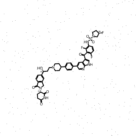 O=C1CC[C@H](N2Cc3cc([C@@H](O)CCN4CCC(c5ccc(-c6cnc7[nH]cc(C(=O)c8c(F)ccc(NS(=O)(=O)N9CC[C@@H](F)C9)c8F)c7c6)cc5)CC4)ccc3C2=O)C(=O)N1